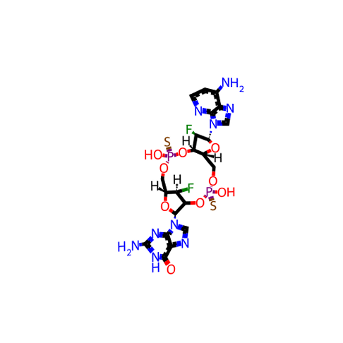 Nc1nc2c(ncn2[C@@H]2O[C@@H]3COP(O)(=S)O[C@H]4[C@@H](F)[C@H](n5cnc6c(N)ccnc65)O[C@@H]4COP(O)(=S)OC2[C@@H]3F)c(=O)[nH]1